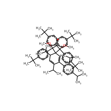 COC(c1ccc(C(C)(C)C)cc1)(c1ccc(C(C)(C)C)cc1)C1(C(OC)(c2ccc(C(C)(C)C)cc2)c2ccc(C(C)(C)C)cc2)C=C(c2ccc(C(C)C)cc2C(C)C)C(C(C)C)=CC1C(C)C